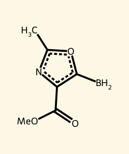 Bc1oc(C)nc1C(=O)OC